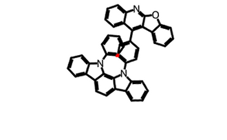 c1ccc(-n2c3ccccc3c3ccc4c5ccccc5n(-c5ccc(-c6c7ccccc7nc7oc8ccccc8c67)cc5)c4c32)cc1